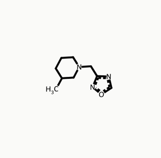 CC1CCCN(Cc2ncon2)C1